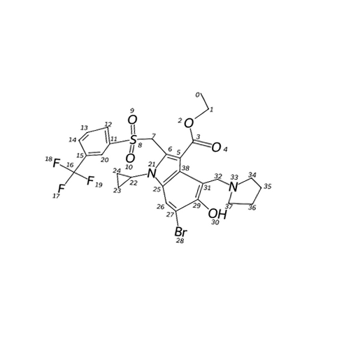 CCOC(=O)c1c(CS(=O)(=O)c2cccc(C(F)(F)F)c2)n(C2CC2)c2cc(Br)c(O)c(CN3CCCC3)c12